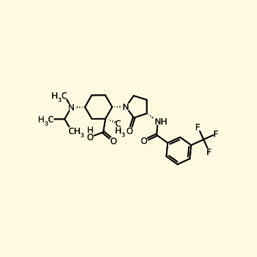 CC(C)N(C)[C@@H]1CC[C@H](N2CC[C@H](NC(=O)c3cccc(C(F)(F)F)c3)C2=O)[C@@](C)(C(=O)O)C1